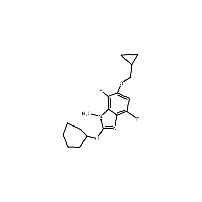 Cn1c(OC2CCCCC2)nc2c(F)cc(OCC3CC3)c(F)c21